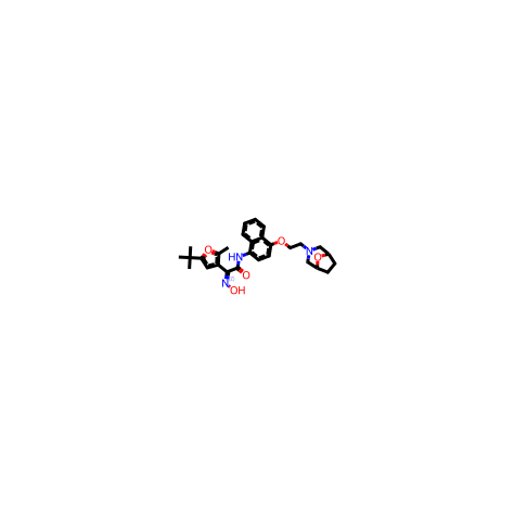 Cc1oc(C(C)(C)C)cc1/C(=N/O)C(=O)Nc1ccc(OCCN2CC3CCC(C2)O3)c2ccccc12